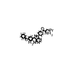 CC(C)CC(N)C(=O)N1CCC(n2nc(-c3ccc(Oc4ccccc4)cc3)c3c(N)ncnc32)CC1